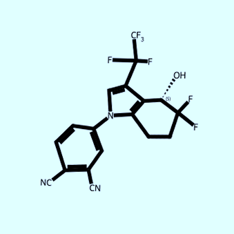 N#Cc1ccc(-n2cc(C(F)(F)C(F)(F)F)c3c2CCC(F)(F)[C@H]3O)cc1C#N